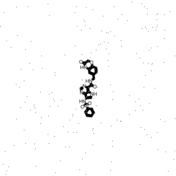 O=C1COc2ccc(CNC(=O)c3ncnc4c(NS(=O)(=O)c5ccccc5)c[nH]c34)cc2N1